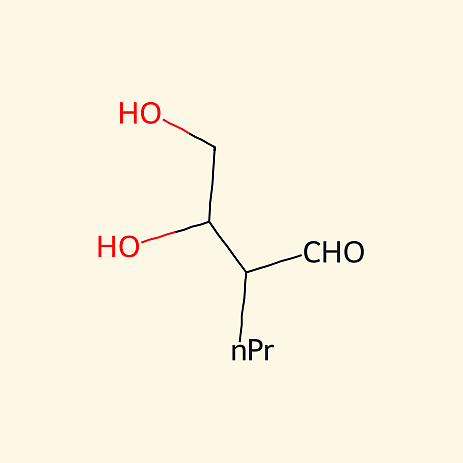 CCCC(C=O)C(O)CO